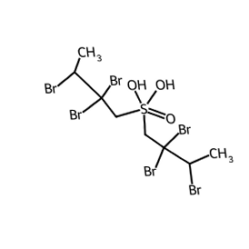 CC(Br)C(Br)(Br)CS(=O)(O)(O)CC(Br)(Br)C(C)Br